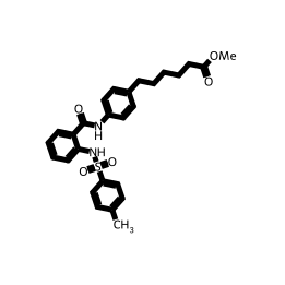 COC(=O)CCCCCc1ccc(NC(=O)c2ccccc2NS(=O)(=O)c2ccc(C)cc2)cc1